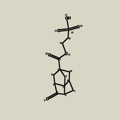 O=C1C2CC3CC1CC(C(=O)OCCS(=O)(=O)O)(C3)C2